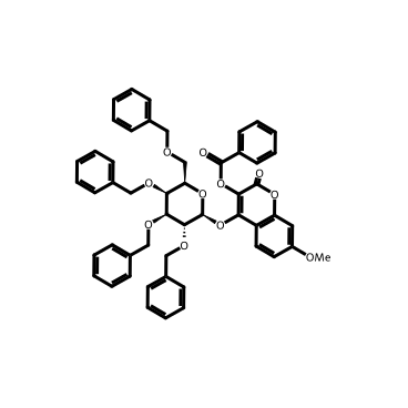 COc1ccc2c(O[C@@H]3O[C@H](COCc4ccccc4)[C@H](OCc4ccccc4)[C@H](OCc4ccccc4)[C@H]3OCc3ccccc3)c(OC(=O)c3ccccc3)c(=O)oc2c1